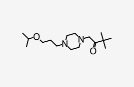 CC(C)OCCCN1CCN(CC(=O)C(C)(C)C)CC1